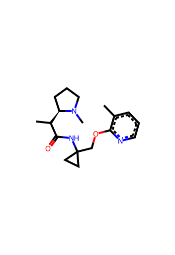 Cc1cccnc1OCC1(NC(=O)C(C)[C@H]2CCCN2C)CC1